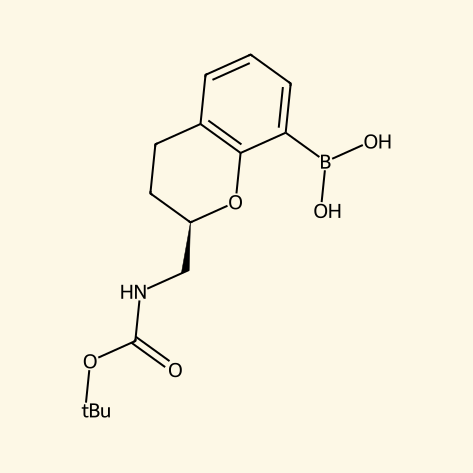 CC(C)(C)OC(=O)NC[C@H]1CCc2cccc(B(O)O)c2O1